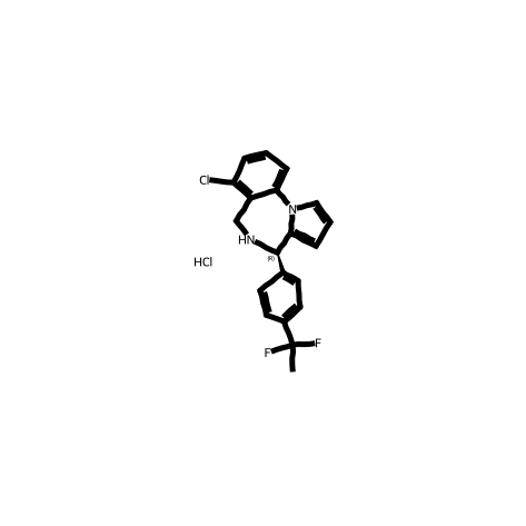 CC(F)(F)c1ccc([C@H]2NCc3c(Cl)cccc3-n3cccc32)cc1.Cl